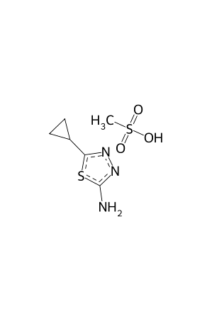 CS(=O)(=O)O.Nc1nnc(C2CC2)s1